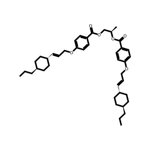 CCC[C@H]1CC[C@H](C=CCOc2ccc(C(=O)OC[C@@H](C)OC(=O)c3ccc(OCC=C[C@H]4CC[C@H](CCC)CC4)cc3)cc2)CC1